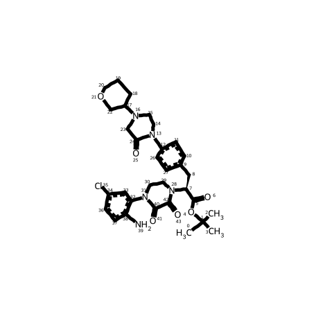 CC(C)(C)OC(=O)[C@H](Cc1ccc(N2CCN(C3CCCOC3)CC2=O)cc1)N1CCN(c2cc(Cl)ccc2N)C(=O)C1=O